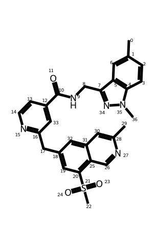 Cc1ccc2c(c1)c(CNC(=O)c1ccnc(Cc3cc(S(C)(=O)=O)c4cnc(C)cc4c3)c1)nn2C